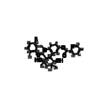 COc1ccc(OC(=O)c2ccccn2)cc1C1=C(COc2cc(F)ccc2C)C(C)(O)CC(C)(C)C1O